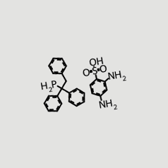 Nc1ccc(S(=O)(=O)O)c(N)c1.PC(Cc1ccccc1)(c1ccccc1)c1ccccc1